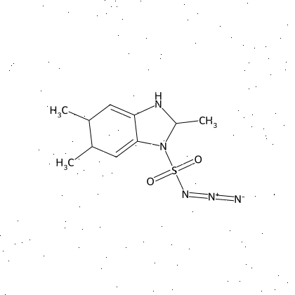 CC1C=C2NC(C)N(S(=O)(=O)N=[N+]=[N-])C2=CC1C